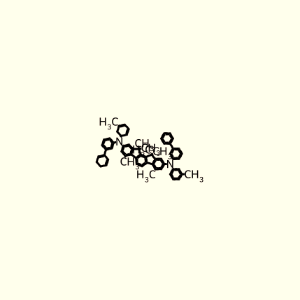 CC1=CC=CC(N(c2cccc(C3=CCCC=C3)c2)c2cc(C)c3c(c2)C(C)(C)c2c-3ccc3c2C(C)(C)c2cc(N(c4cccc(C)c4)c4cccc(-c5ccccc5)c4)cc(C)c2-3)C1